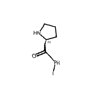 O=C(PI)[C@@H]1CCCN1